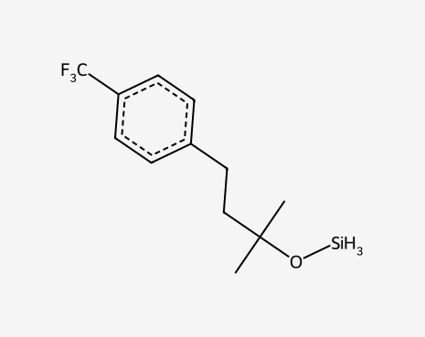 CC(C)(CCc1ccc(C(F)(F)F)cc1)O[SiH3]